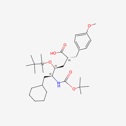 COc1ccc(C[C@H](C[C@H](O[Si](C)(C)C(C)(C)C)[C@H](CC2CCCCC2)NC(=O)OC(C)(C)C)C(=O)O)cc1